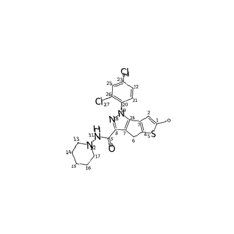 Cc1cc2c(s1)Cc1c(C(=O)NN3CCCCC3)nn(-c3ccc(Cl)cc3Cl)c1-2